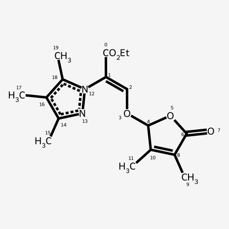 CCOC(=O)/C(=C/OC1OC(=O)C(C)=C1C)n1nc(C)c(C)c1C